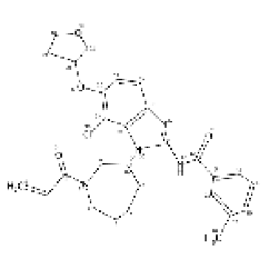 C=CC(=O)N1CCCC[C@@H](n2c(NC(=O)c3cccc(C)c3)nc3ccc(OC4CCOC4)c(Cl)c32)C1